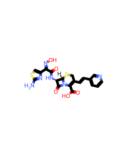 Nc1nc(/C(=N/O)C(=O)N[C@@H]2C(=O)N3C(C(=O)O)=C(/C=C/c4cccnc4)CS[C@H]23)cs1